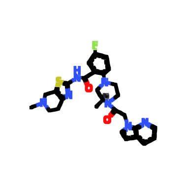 C[C@H]1CN(c2ccc(F)cc2C(=O)Nc2nc3c(s2)CN(C)CC3)CCN1C(=O)Cn1ccc2cccnc21